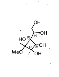 COC(C)(C)[C@](C)(O)[C@@H](O)[C@H](O)[C@H](O)CO